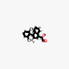 Cc1cccc(C)c1-c1ccc(C(=O)C=O)c2ccccc12